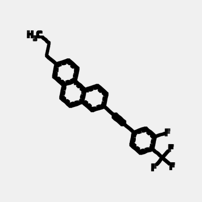 CCCc1ccc2c(ccc3cc(C#Cc4ccc(C(F)(F)F)c(F)c4)ccc32)c1